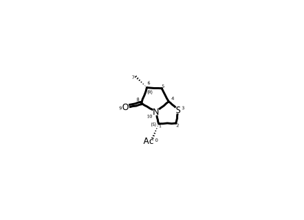 CC(=O)[C@H]1CSC2C[C@@H](C)C(=O)N21